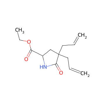 C=CCC1(CC=C)CC(C(=O)OCC)NC1=O